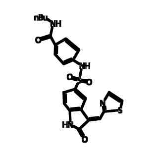 CCCCNC(=O)c1ccc(NS(=O)(=O)c2ccc3c(c2)/C(=C\c2nccs2)C(=O)N3)cc1